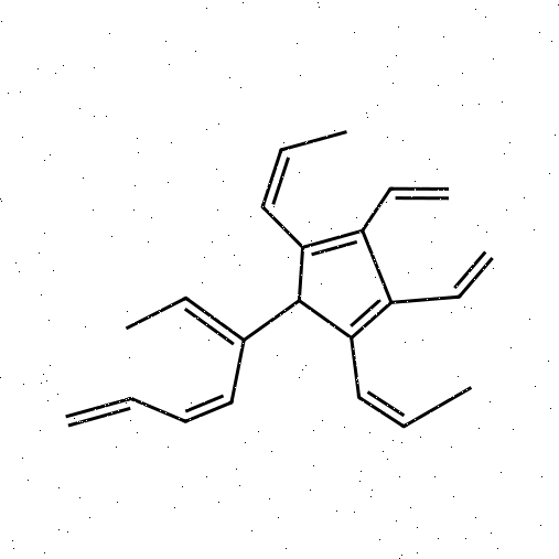 C=C/C=C\C(=C/C)C1C(/C=C\C)=C(C=C)C(C=C)=C1/C=C\C